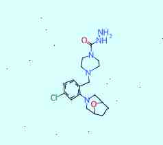 NNC(=O)N1CCN(Cc2ccc(Cl)cc2N2CC3CCC(C2)O3)CC1